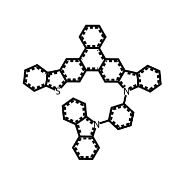 c1cc(-n2c3ccccc3c3ccccc32)cc(-n2c3ccccc3c3cc4c5ccccc5c5cc6c(cc5c4cc32)sc2ccccc26)c1